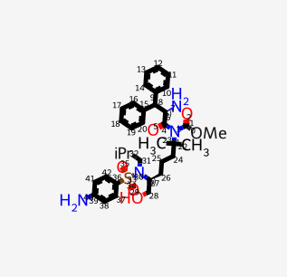 COC(=O)N(C(=O)[C@@H](N)C(c1ccccc1)c1ccccc1)C(C)(C)CCC[C@@H](CO)N(CC(C)C)S(=O)(=O)c1ccc(N)cc1